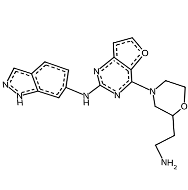 NCCC1CN(c2nc(Nc3ccc4cn[nH]c4c3)nc3ccoc23)CCO1